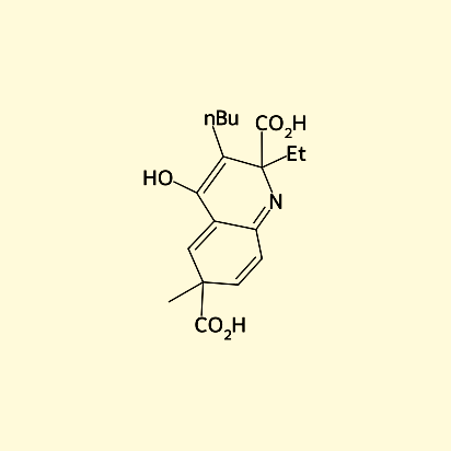 CCCCC1=C(O)C2=CC(C)(C(=O)O)C=CC2=NC1(CC)C(=O)O